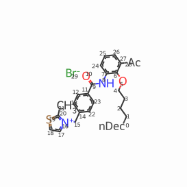 CCCCCCCCCCCCCCOc1c(NC(=O)c2ccc(C[n+]3ccsc3C)cc2)cccc1C(C)=O.[Br-]